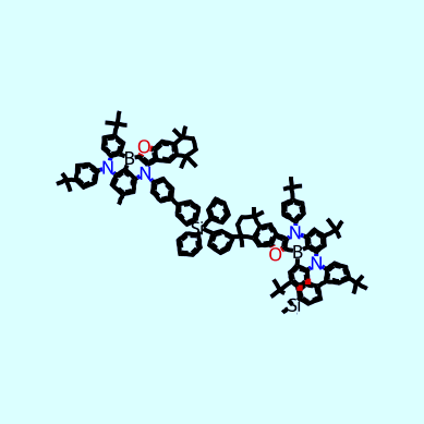 Cc1cc2c3c(c1)N(c1ccc(-c4ccc([Si](c5ccccc5)(c5ccccc5)c5cccc(C6(C)CCC(C)(C)c7cc8c9c(oc8cc76)B6c7cc(C(C)(C)C)ccc7N(c7ccc(C(C)(C)C)cc7-c7ccc([Si](C)(C)C)cc7)c7cc(C(C)(C)C)cc(c76)N9c6ccc(C(C)(C)C)cc6)c5)cc4)cc1)c1c(oc4cc5c(cc14)C(C)(C)CCC5(C)C)B3c1cc(C(C)(C)C)ccc1N2c1ccc(C(C)(C)C)cc1